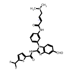 CN(C)C/C=C/C(=O)Nc1cccc(-n2c(NC(=O)c3ccc(C(F)F)s3)nc3cc(C=O)ccc32)c1